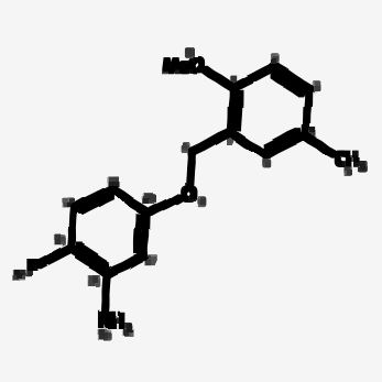 COc1ccc(C)cc1COc1ccc(F)c(N)c1